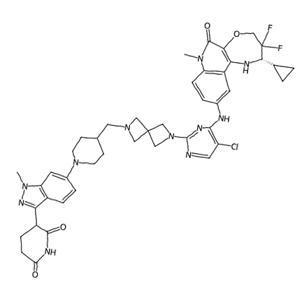 Cn1nc(C2CCC(=O)NC2=O)c2ccc(N3CCC(CN4CC5(C4)CN(c4ncc(Cl)c(Nc6ccc7c(c6)c6c(c(=O)n7C)OCC(F)(F)[C@H](C7CC7)N6)n4)C5)CC3)cc21